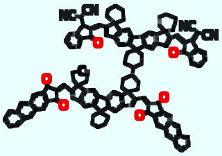 N#CC(C#N)=C1/C(=C/C2=Cc3cc4c(cc3C23CCCCC3)-c2cc3c(cc2C42CCC(C4CCC5(CC4)C(C=C4C(=O)c6cc7cc8ccccc8cc7cc6C4=O)=Cc4cc6c(cc45)-c4cc5c(cc4C64CCCCC4)C=C(C=C4C(=O)c6cc7cc8ccccc8cc7cc6C4=O)C54CCCCC4)CC2)C=C(/C=C2\C(=O)c4ccccc4C2C(C#N)C#N)C32CCCCC2)C(=O)c2ccccc21